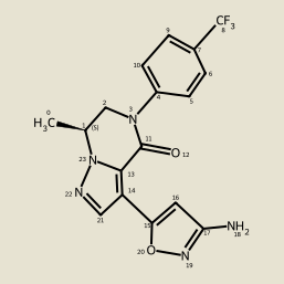 C[C@H]1CN(c2ccc(C(F)(F)F)cc2)C(=O)c2c(-c3cc(N)no3)cnn21